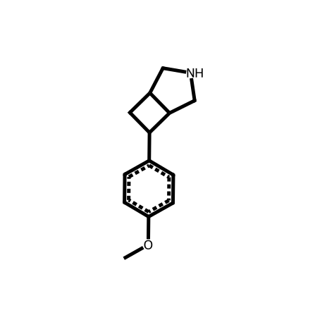 COc1ccc(C2CC3CNCC32)cc1